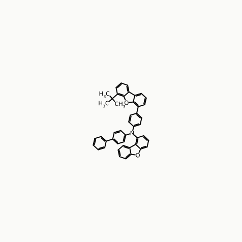 CC(C)(C)c1cccc2c1oc1c(-c3ccc(N(c4ccc(-c5ccccc5)cc4)c4cccc5oc6ccccc6c45)cc3)cccc12